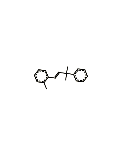 Cc1ccccc1C=CC(C)(C)c1ccccc1